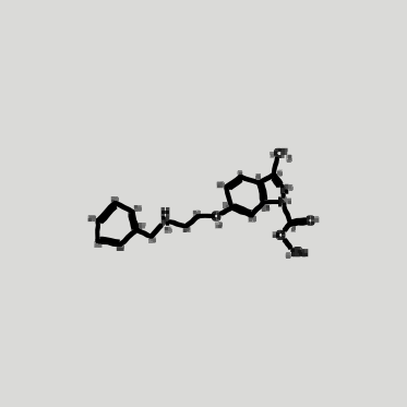 CC(C)(C)OC(=O)n1nc(C(F)(F)F)c2ccc(OCCNCc3ccccc3)cc21